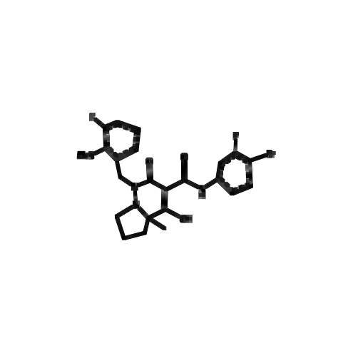 CSc1c(F)cccc1CN1C(=O)C(C(=O)Nc2ccc(Br)c(F)c2)=C(O)C2(C)CCCN12